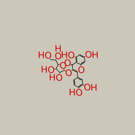 O=c1c(O[C@@H]2O[C@H]([C@H](O)CO)[C@H](O)[C@H]2O)c(-c2ccc(O)c(O)c2)oc2cc(O)cc(O)c12